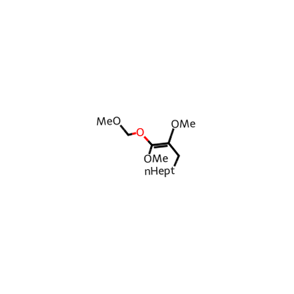 CCCCCCCC/C(OC)=C(\OC)OCOC